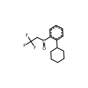 O=[P](CC(F)(F)F)c1ccccc1C1CCCCC1